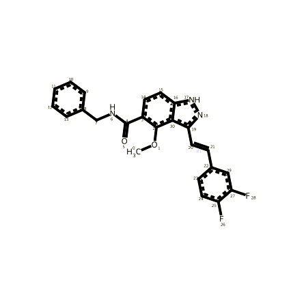 COc1c(C(=O)NCc2ccccc2)ccc2[nH]nc(/C=C/c3ccc(F)c(F)c3)c12